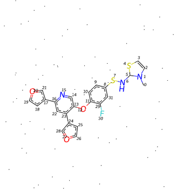 CN1C=CSC1NSc1ccc(Oc2cnc(-c3ccoc3)cc2-c2ccoc2)c(F)c1